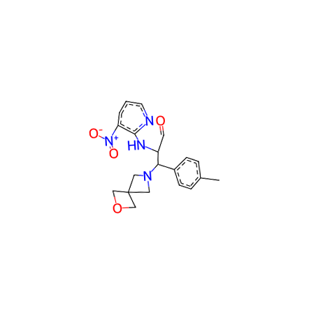 Cc1ccc(C(C(C=O)Nc2ncccc2[N+](=O)[O-])N2CC3(COC3)C2)cc1